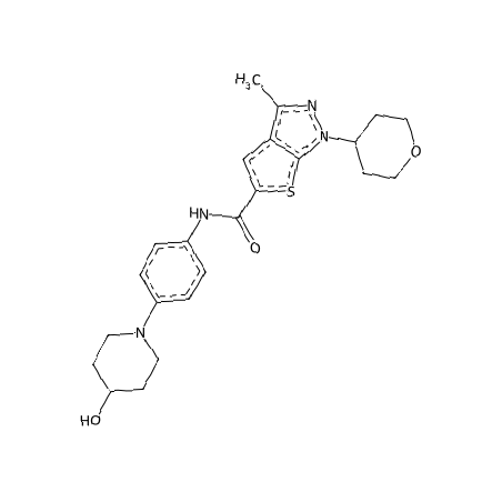 Cc1nn(C2CCOCC2)c2sc(C(=O)Nc3ccc(N4CCC(O)CC4)cc3)cc12